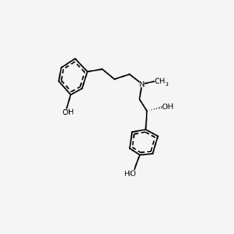 CN(CCCc1cccc(O)c1)C[C@H](O)c1ccc(O)cc1